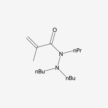 C=C(C)C(=O)N(CCC)N(CCCC)CCCC